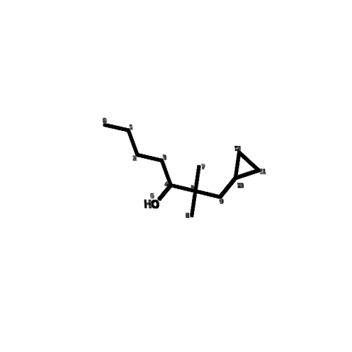 CCCCC(O)C(C)(C)CC1CC1